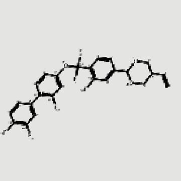 C=CC1COC(c2ccc(C(F)(F)Oc3ccc(-c4ccc(F)c(F)c4)c(F)c3)c(F)c2)OC1